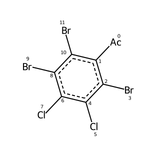 CC(=O)c1c(Br)c(Cl)c(Cl)c(Br)c1Br